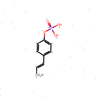 O=C(O)C=Cc1ccc(OP(=O)(O)O)cc1